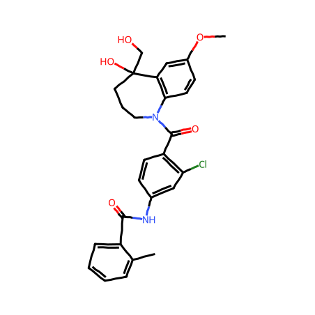 COc1ccc2c(c1)C(O)(CO)CCCN2C(=O)c1ccc(NC(=O)c2ccccc2C)cc1Cl